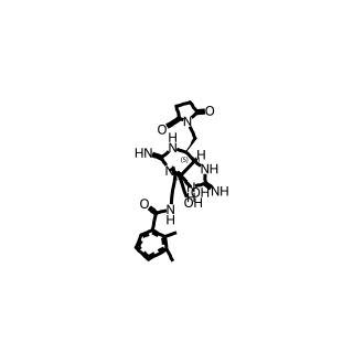 Cc1cccc(C(=O)NC2CN3C(=N)N[C@@H](CN4C(=O)CCC4=O)[C@@H]4NC(=N)N[C@@]43C2(O)O)c1C